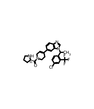 CC(c1ccc(Cl)cc1C(F)(F)F)n1cnc2ccc(C3=CCN(C(=O)[C@H]4CCCN4)CC3)cc21